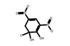 O=[N+]([O-])C1=CC([N+](=O)[O-])=C(O)C(O)(Cl)C1